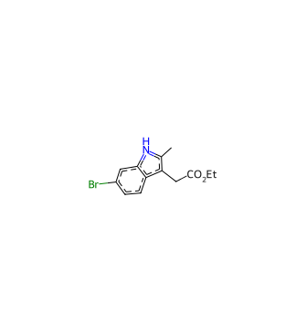 CCOC(=O)Cc1c(C)[nH]c2cc(Br)ccc12